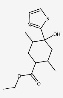 CCOC(=O)C1CC(C)C(O)(c2nccs2)CC1C